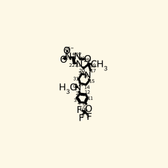 CN(c1ccc(OC(F)(F)F)cc1)C1CCN(CC2(C)Cn3cc([N+](=O)[O-])nc3O2)CC1